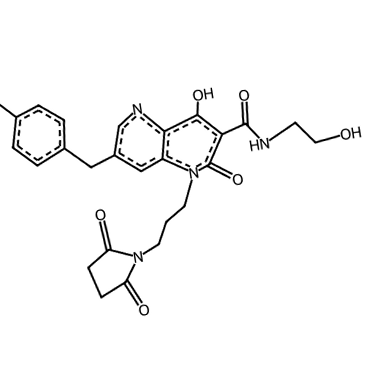 O=C(NCCO)c1c(O)c2ncc(Cc3ccc(F)cc3)cc2n(CCCN2C(=O)CCC2=O)c1=O